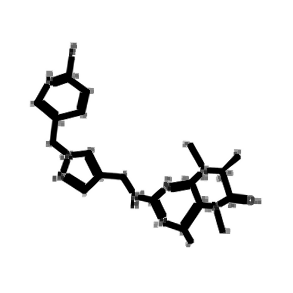 Cc1nc(NCc2cnn(Cc3ccc(F)nc3)c2)nc2c1N(C)C(=O)[C@H](C)N2C